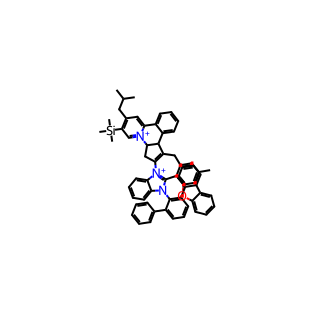 Cc1cc2c(c3oc4ccccc4c13)-c1n(-c3c(-c4ccccc4)cccc3-c3ccccc3)c3ccccc3[n+]1C1=C(C2)C2c3ccccc3-c3cc(CC(C)C)c([Si](C)(C)C)c[n+]3C2C1